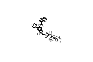 CC(C)(C)OC(=O)N[C@H]1CO[C@@H](CN2Cc3cc(NC(=O)c4cnn5cccnc45)c(N4CCOCC4)cc3C2=O)OC1